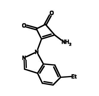 CCc1ccc2cnn(-c3c(N)c(=O)c3=O)c2c1